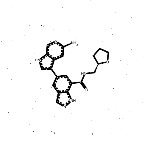 Nc1cc2c(-c3cc(C(=O)NC[C@H]4CCCO4)c4[nH]ncc4c3)c[nH]c2cn1